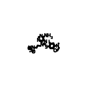 CN1CCOc2cc(Sc3nc4c(N)ncnc4n3CCCNS(C)(=O)=O)c(I)cc21